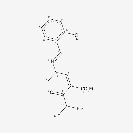 CCOC(=O)C(=CN(C)N=Cc1ccccc1Cl)C(=O)C(F)F